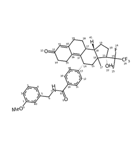 COc1cccc(CNC(=O)c2ccc([C@H]3CC4(C)[C@@H](CC[C@@]4(O)C(F)(F)C(F)(F)F)C4CCC5=CC(=O)CCC5=C43)cc2)c1